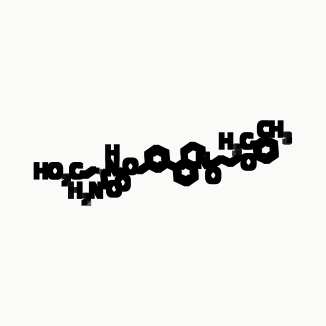 Cc1cccc(OCCCC(=O)N2CCCc3c(-c4cccc(COC(=O)N[C@@H](CCC(=O)O)C(N)=O)c4)cccc32)c1C